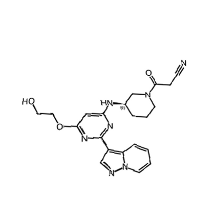 N#CCC(=O)N1CCC[C@@H](Nc2cc(OCCO)nc(-c3cnn4ccccc34)n2)C1